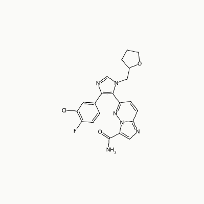 NC(=O)c1cnc2ccc(-c3c(-c4ccc(F)c(Cl)c4)ncn3CC3CCCO3)nn12